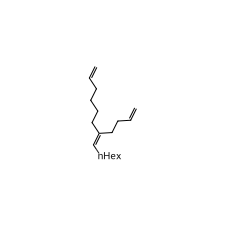 C=CCCCCC(=CCCCCCC)CCC=C